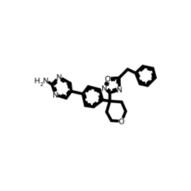 Nc1ncc(-c2ccc(C3(c4noc(Cc5ccccc5)n4)CCOCC3)cc2)cn1